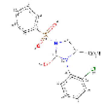 O=C(O)C1CN(S(=O)(=O)c2ccccc2)C(=O)N1c1ccccc1Cl